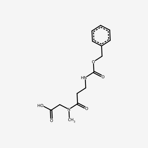 CN(CC(=O)O)C(=O)CCNC(=O)OCc1ccccc1